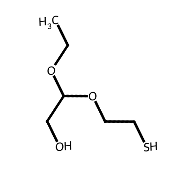 CCOC(CO)OCCS